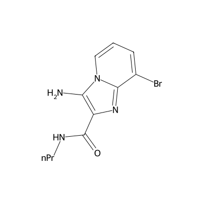 CCCNC(=O)c1nc2c(Br)cccn2c1N